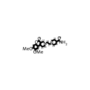 COc1cc2oc(=O)c3c(c2cc1OC)CCN(CCN1CCC(C(N)=O)CC1)C3